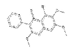 COc1cc2oc(OC)c(-c3ccccc3)c(=O)c2c(O)c1OC